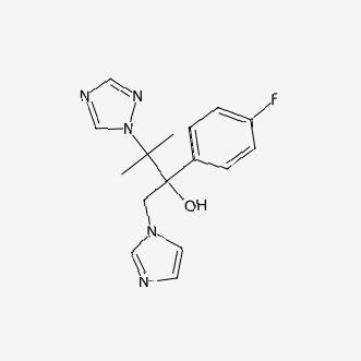 CC(C)(n1cncn1)C(O)(Cn1ccnc1)c1ccc(F)cc1